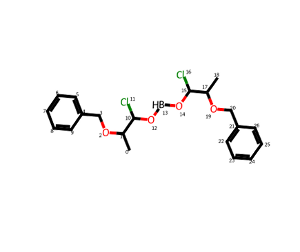 CC(OCc1ccccc1)C(Cl)OBOC(Cl)C(C)OCc1ccccc1